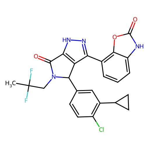 CC(F)(F)CN1C(=O)c2[nH]nc(-c3cccc4[nH]c(=O)oc34)c2C1c1ccc(Cl)c(C2CC2)c1